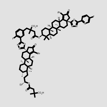 CC[C@H](CC[C@@]1(C)[C@H](C)CC[C@]2(C)[C@@H]1CC[C@@H]1C3=C(C(C)C)C(=O)C[C@]3(c3nnc(-c4cc(CC(C)(CC(=O)O[C@H]5CC[C@]6(C)[C@H]7CC[C@@H]8C9=C(C(C)C)C(=O)C[C@]9(c9nnc(-c%10ccc(F)cn%10)o9)CC[C@@]8(C)[C@]7(C)CC[C@H]6C5(C)C)C(=O)O)ccc4F)o3)CC[C@]12C)OC(=O)CC(C)(C)C(=O)O